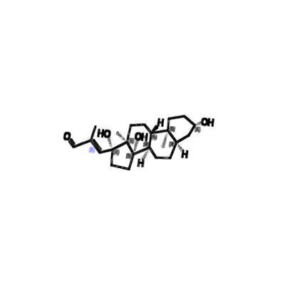 C/C(C=O)=C\[C@]1(O)CC[C@]2(O)[C@@H]3CC[C@@H]4C[C@@H](O)CC[C@]4(C)[C@H]3CC[C@]12C